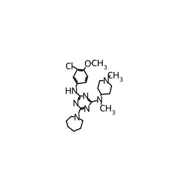 COc1ccc(Nc2nc(N3CCCCCC3)nc(N(C)C3CCN(C)CC3)n2)cc1Cl